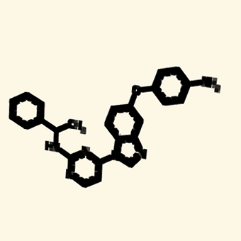 CC(Nc1nccc(-n2cnc3cc(Oc4ccc(N)cc4)ccc32)n1)c1ccccc1